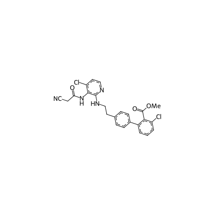 COC(=O)c1c(Cl)cccc1-c1ccc(CCNc2nccc(Cl)c2NC(=O)CC#N)cc1